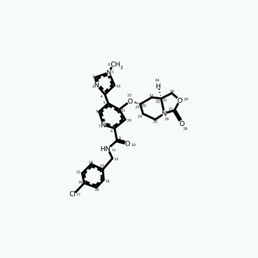 Cn1cnc(-c2cnc(C(=O)NCc3ccc(Cl)cc3)cc2O[C@H]2CCN3C(=O)OC[C@@H]3C2)c1